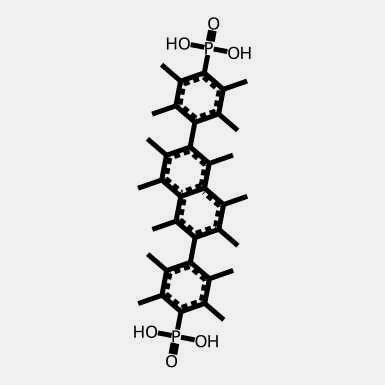 Cc1c(C)c(P(=O)(O)O)c(C)c(C)c1-c1c(C)c(C)c2c(C)c(-c3c(C)c(C)c(P(=O)(O)O)c(C)c3C)c(C)c(C)c2c1C